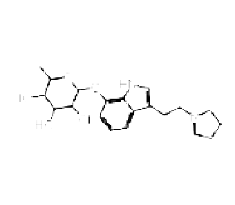 CC1OC(Oc2cccc3c(CCN4CCCC4)c[nH]c23)C(O)C(O)C1O